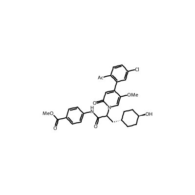 COC(=O)c1ccc(NC(=O)C(C[C@H]2CC[C@H](O)CC2)n2cc(OC)c(-c3cc(Cl)ccc3C(C)=O)cc2=O)cc1